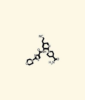 N#CCCc1cnc(N2CCC(C(N)=O)CC2)c(NC(=O)c2csc(N3CCOCC3)n2)c1